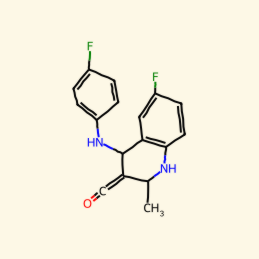 CC1Nc2ccc(F)cc2C(Nc2ccc(F)cc2)C1=C=O